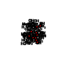 CO[Si]([SiH3])(O[Si]([Si](O[SiH2]O)([SiH2]O)[SiH2]O)([Si](O[Si](C)(C)O[Si](C)(C)C)(O[Si](O[SiH2]O)([SiH2]O)[Si](C)(C)O)[Si](O[Si](O[SiH2]O)([SiH2]O)[SiH2]O)([Si](O[SiH2]O)([SiH2]O)[SiH2]O)[Si](O[SiH2]O)([SiH2]O)[SiH2]O)[Si](O[Si](C)(C)O)([SiH2]O)[Si](C)(C)O)[SiH2]O